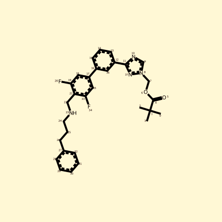 CC(C)(C)C(=O)OCn1cnc(-c2cccc(-c3cc(F)c(CNCCCc4ccccc4)c(F)c3)c2)n1